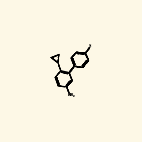 Nc1ccc(C2CC2)c(-c2ccc(F)cc2)c1